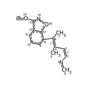 C=N/C=C\C(C)=C(/C)c1cccc2c(OCC(C)C)noc12